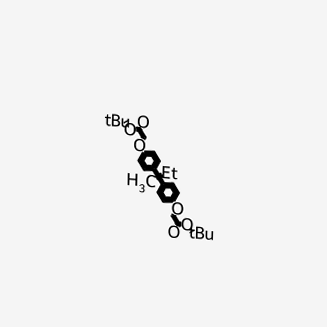 CCC(C)(c1ccc(OCC(=O)OC(C)(C)C)cc1)c1ccc(OCC(=O)OC(C)(C)C)cc1